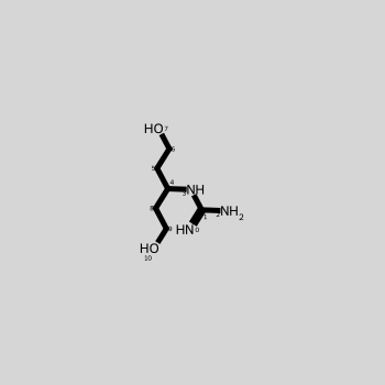 N=C(N)NC(CCO)CCO